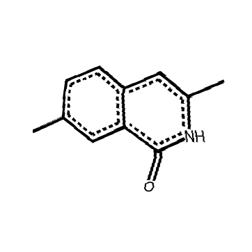 Cc1ccc2cc(C)[nH]c(=O)c2c1